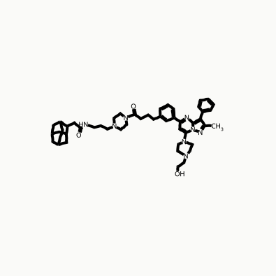 Cc1nn2c(N3CCN(CCO)CC3)cc(-c3cccc(CCCC(=O)N4CCN(CCCNC(=O)CC5C6CC7CC(C6)CC5C7)CC4)c3)nc2c1-c1ccccc1